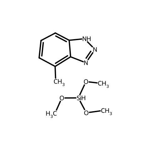 CO[SiH](OC)OC.Cc1cccc2[nH]nnc12